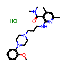 COc1ccccc1N1CCN(CCCNc2nc(C)cc(C)c2C(=O)N(C)C)CC1.Cl